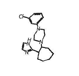 Clc1cccc(N2CCN(C3CCCCCC3c3ncc[nH]3)CC2)c1